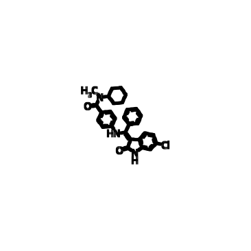 CN(C(=O)c1ccc(N/C(=C2\C(=O)Nc3cc(Cl)ccc32)c2ccccc2)cc1)C1CCCCC1